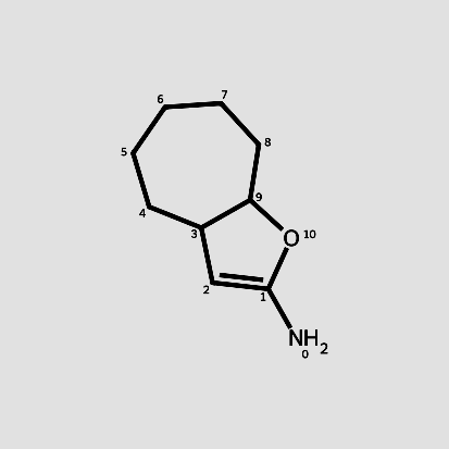 NC1=CC2CCCCCC2O1